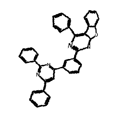 c1ccc(-c2cc(-c3cccc(-c4nc(-c5ccccc5)c5c(n4)oc4ccccc45)c3)nc(-c3ccccc3)n2)cc1